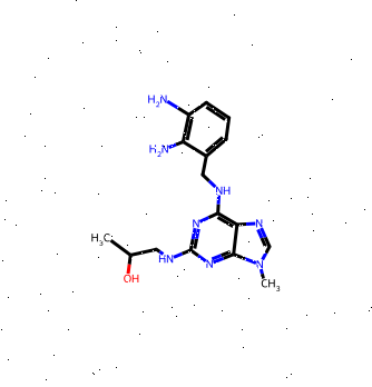 CC(O)CNc1nc(NCc2cccc(N)c2N)c2ncn(C)c2n1